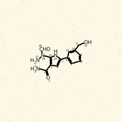 NC(=O)c1cc(-c2cccc(CO)c2)[nH]c1N(N)C=O